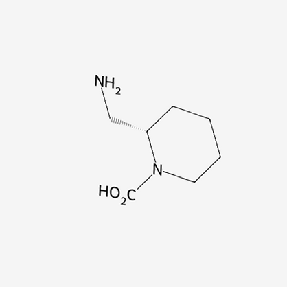 NC[C@@H]1CCCCN1C(=O)O